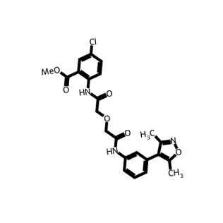 COC(=O)c1cc(Cl)ccc1NC(=O)COCC(=O)Nc1cccc(-c2c(C)noc2C)c1